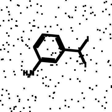 Nc1cccc(C(I)I)c1